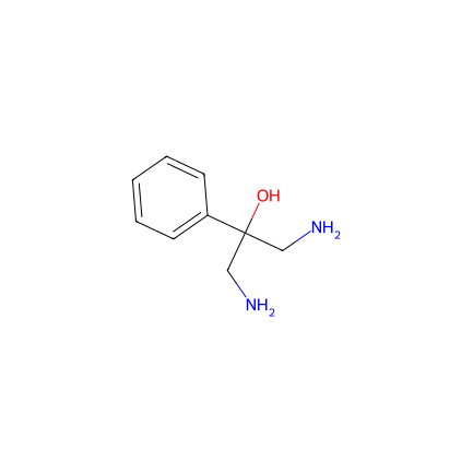 NCC(O)(CN)c1ccccc1